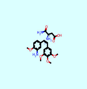 COc1ccc(/C=C\c2cc(OC)c(OC)c(OC)c2)cc1N.NC(=O)[C@H](N)CC(=O)O